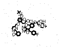 COc1ccccc1-c1nccc(COc2ccc(O[Si](C)(C)C(C)(C)C)cc2CC(Oc2ncnc3oc(-c4ccc(F)cc4)c(-c4ccc(O[C@@H](CO)CN5CCN(C)CC5)c(Cl)c4C)c23)C(=O)O)n1